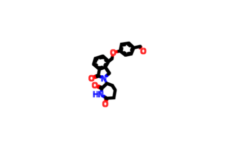 O=Cc1ccc(OCc2cccc3c2CN([C@H]2CCCC(=O)NC2=O)C3=O)cc1